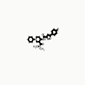 CN(C)C(=O)C1CN(C2CCCCC2)CCC1NC(=O)c1cc(-c2ccc(F)cc2)on1